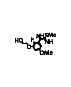 COc1cc(OCCO)c(F)c(C(=N)C(=N)SC)c1